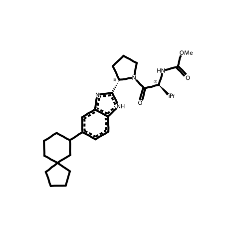 COC(=O)N[C@H](C(=O)N1CCC[C@H]1c1nc2cc(C3CCCC4(CCCC4)C3)ccc2[nH]1)C(C)C